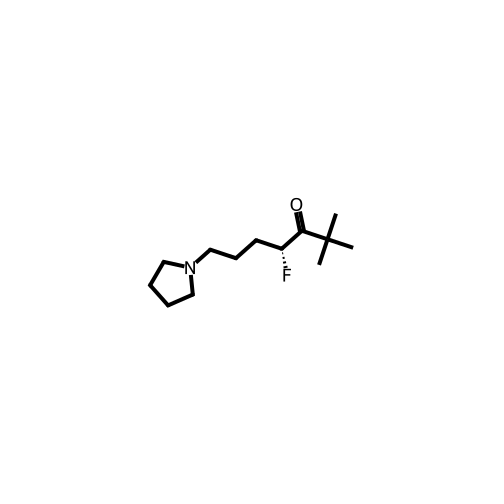 CC(C)(C)C(=O)[C@H](F)CCCN1CCCC1